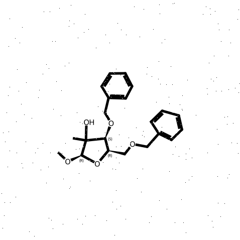 CO[C@@H]1O[C@H](COCc2ccccc2)[C@H](OCc2ccccc2)C1(C)O